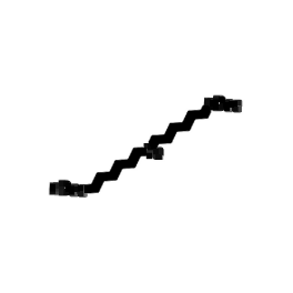 CCCCCCCCCCCCCCCC[Te]CCCCCCCCCCCCCCCC